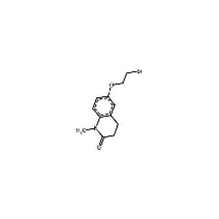 CN1C(=O)CCc2cc(OCCBr)ccc21